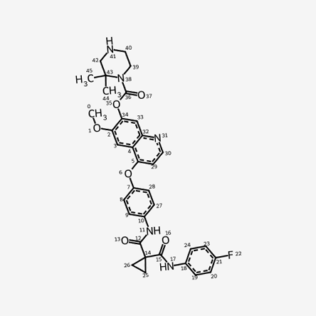 COc1cc2c(Oc3ccc(NC(=O)C4(C(=O)Nc5ccc(F)cc5)CC4)cc3)ccnc2cc1OC(=O)N1CCNCC1(C)C